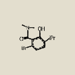 CC(C)c1ccc(Br)c(C(=O)N(C)C)c1O